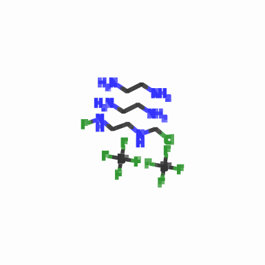 FNCCNCCl.F[B-](F)(F)F.F[B-](F)(F)F.NCCN.NCCN